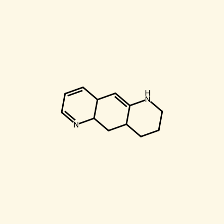 C1=CC2C=C3NCCCC3CC2N=C1